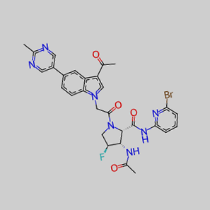 CC(=O)N[C@H]1[C@@H](C(=O)Nc2cccc(Br)n2)N(C(=O)Cn2cc(C(C)=O)c3cc(-c4cnc(C)nc4)ccc32)C[C@@H]1F